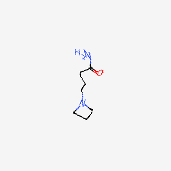 NC(=O)CCCN1CCC1